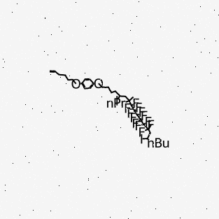 C=CCCCCOc1ccc(OCCCCC(I)CC(C)(CCC)C(F)(F)C(F)(F)C(F)(F)C(F)(F)C(F)(F)C(F)(F)CC(I)CCCC)cc1